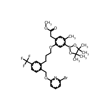 COC(=O)Cc1cc(C)c(B2OC(C)(C)C(C)(C)O2)cc1OCCCc1cc(C(F)(F)F)ccc1COc1cccc(Br)n1